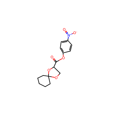 O=C(Oc1ccc([N+](=O)[O-])cc1)C1COC2(CCCCC2)O1